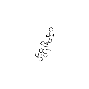 CC1C=C(c2cccc3c2-c2ccccc2C3(C2=CC=CCC2C)c2ccccc2)c2c(n(-c3cccc(-c4ncc(-c5ccccc5)[nH]4)c3)c3ccccc23)C1